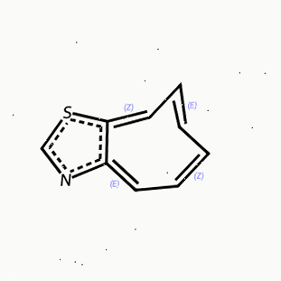 C1=C\C=c2\ncs\c2=C/C=C/1